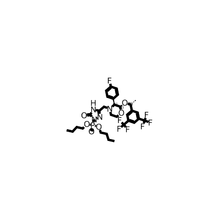 CCCCOP(=O)(OCCCC)n1nc(CN2CCO[C@H](O[C@H](C)c3cc(C(F)(F)F)cc(C(F)(F)F)c3)[C@@H]2c2ccc(F)cc2)[nH]c1=O